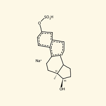 C[C@]12CCc3c(ccc4cc(OS(=O)(=O)O)ccc34)C1CC[C@H]2O.[Na+]